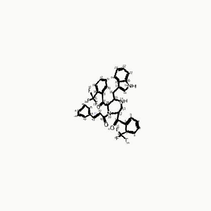 O=C(c1ccccc1C(F)(F)F)C1CNC(Cc2c[nH]c3ccccc23)C(C(=O)c2ccccc2C(F)(F)F)N1C(=O)/C=C/c1ccccc1